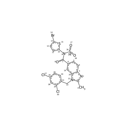 Cc1nc2ccc(C(=O)N(c3ccc(Br)s3)[SH](=O)=O)cc2n1Cc1ccc(Cl)cc1Cl